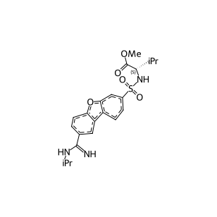 COC(=O)[C@@H](NS(=O)(=O)c1ccc2c(c1)oc1ccc(C(=N)NC(C)C)cc12)C(C)C